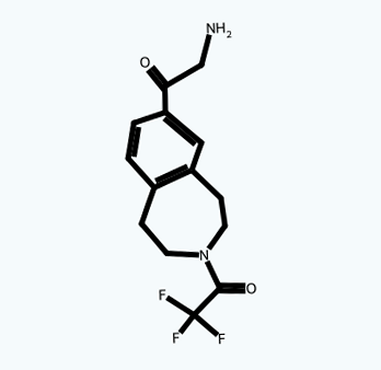 NCC(=O)c1ccc2c(c1)CCN(C(=O)C(F)(F)F)CC2